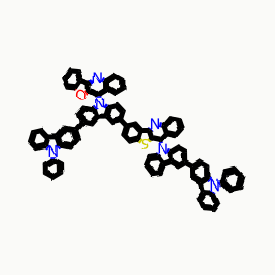 c1ccc(-n2c3ccccc3c3cc(-c4ccc5c(c4)c4cc(-c6ccc7sc8c(-n9c%10ccccc%10c%10cc(-c%11ccc%12c(c%11)c%11ccccc%11n%12-c%11ccccc%11)ccc%109)c9ccccc9nc8c7c6)ccc4n5-c4c5ccccc5nc5c4oc4ccccc45)ccc32)cc1